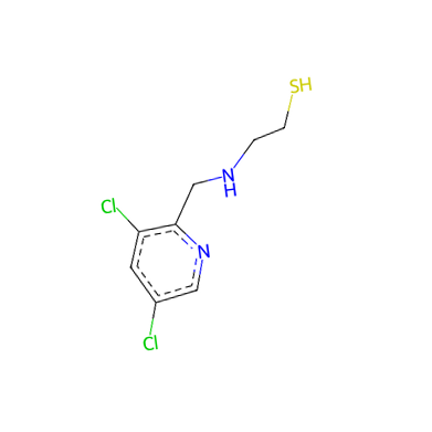 SCCNCc1ncc(Cl)cc1Cl